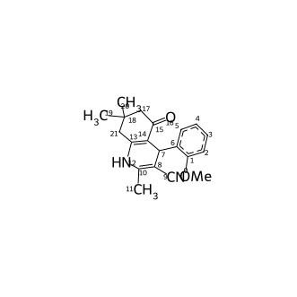 COc1ccccc1C1C(C#N)=C(C)NC2=C1C(=O)CC(C)(C)C2